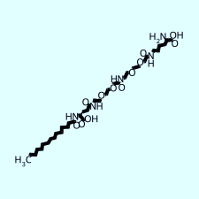 CCCCCCCCCCCCCCC(=O)N[C@@H](CCC(=O)NCCOCCOCC(=O)NCCOCCOCC(=O)NCCCC[C@H](N)C(=O)O)C(=O)O